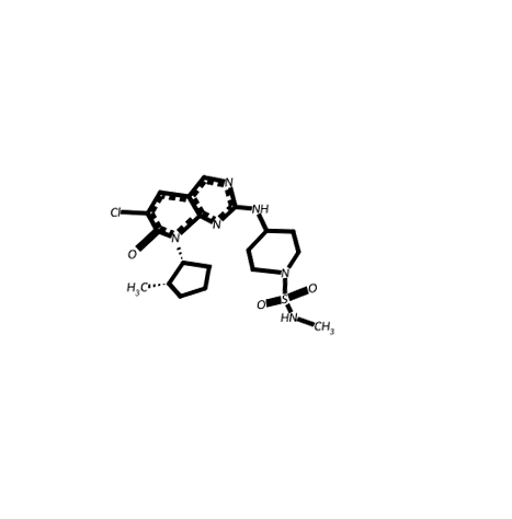 CNS(=O)(=O)N1CCC(Nc2ncc3cc(Cl)c(=O)n([C@@H]4CCC[C@@H]4C)c3n2)CC1